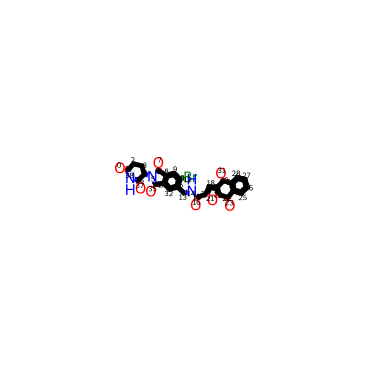 O=C1CCC(N2C(=O)c3cc(Br)c(CNC(=O)c4cc5c(o4)C(=O)c4ccccc4C5=O)cc3C2=O)C(=O)N1